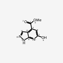 COC(=O)c1cc(O)nc2[nH]ncc12